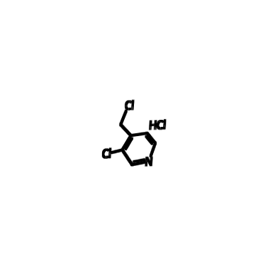 Cl.ClCc1ccncc1Cl